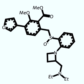 CCN(CC)CC1CCN1c1ccccc1[S+]([O-])Cc1ccc(-c2ccoc2)c(OC)c1C(=O)OC